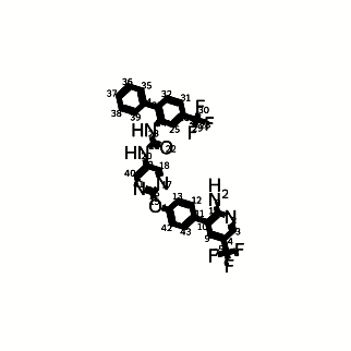 Nc1ncc(C(F)(F)F)cc1-c1ccc(Oc2ncc(NC(=O)Nc3cc(C(F)(F)F)ccc3-c3ccccc3)cn2)cc1